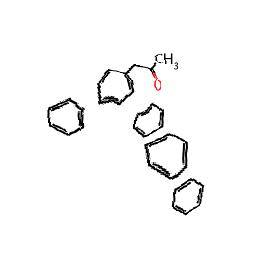 CC(=O)Cc1ccccc1.c1ccccc1.c1ccccc1.c1ccccc1.c1ccccc1